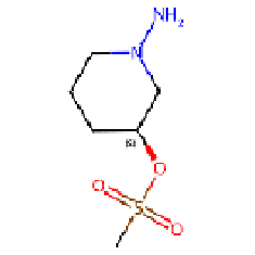 CS(=O)(=O)O[C@H]1CCCN(N)C1